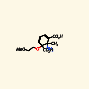 COCCOC1(C(=O)O)C=CC=C(C(=O)O)C1(C)N